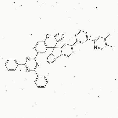 Cc1cnc(-c2cccc(-c3ccc4c(c3)C3(c5ccccc5Oc5ccc(-c6nc(-c7ccccc7)nc(-c7ccccc7)n6)cc53)c3ccccc3-4)c2)cc1C